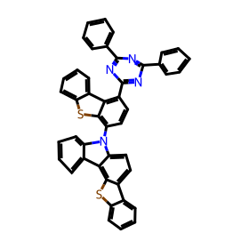 c1ccc(-c2nc(-c3ccccc3)nc(-c3ccc(-n4c5ccccc5c5c6sc7ccccc7c6ccc54)c4sc5ccccc5c34)n2)cc1